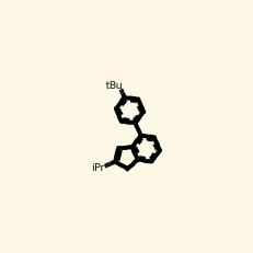 CC(C)C1=Cc2c(cccc2-c2ccc(C(C)(C)C)cc2)[CH]1